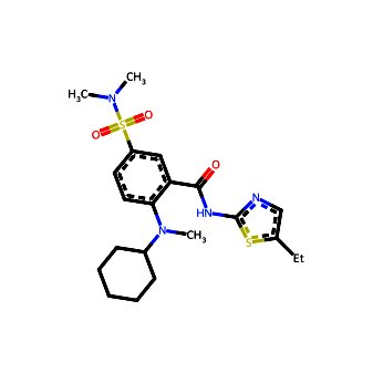 CCc1cnc(NC(=O)c2cc(S(=O)(=O)N(C)C)ccc2N(C)C2CCCCC2)s1